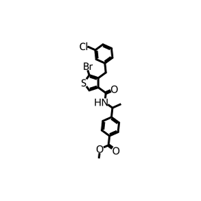 COC(=O)c1ccc(C(C)NC(=O)c2csc(Br)c2Cc2cccc(Cl)c2)cc1